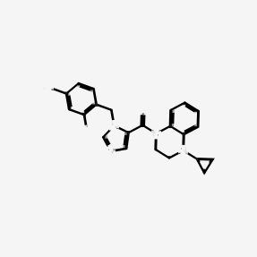 O=C(c1cncn1Cc1ccc(Cl)cc1Cl)N1CCN(C2CC2)c2ccccc21